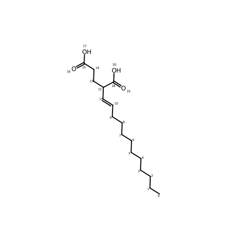 CCCCCCCCCCC=CC(CCC(=O)O)C(=O)O